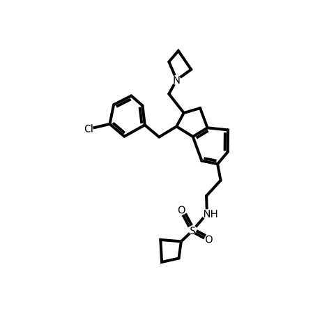 O=S(=O)(NCCc1ccc2c(c1)C(Cc1cccc(Cl)c1)C(CN1CCC1)C2)C1CCC1